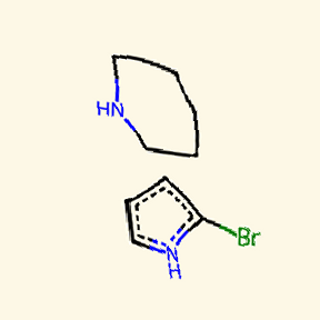 Brc1ccc[nH]1.C1CCNCC1